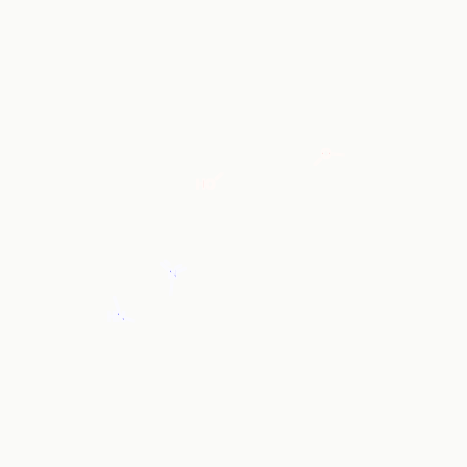 COc1ccc(-c2ccc3c(c2)cc2n3CCNCC2)c(C(C)O)c1